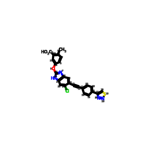 Cc1ccc(Oc2nc3cc(C#Cc4ccc(-c5csnn5)cc4)c(Cl)cc3[nH]2)cc1C(=O)O